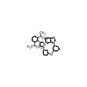 CC(C)c1cccc(C(C)C)c1-c1cnn(-c2cccc(Oc3cccc(-n4cnc5ccccc54)c3)c2)c1